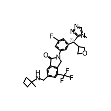 Cn1cnnc1[C@H](c1cc(F)cc(N2Cc3c(cc(CNC4(C)CCC4)cc3C(F)(F)F)C2=O)c1)C1COC1